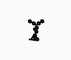 C=C1CC(CC)CC(C)C12c1ccccc1-c1cc(-c3ccc4c(c3)C(C)(C)c3cc(N(c5ccc(-c6ccccc6)cc5)c5ccc(-c6ccccc6)cc5)ccc3-4)ccc12